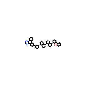 c1cc(-c2ccc3c(c2)c2ccccc2c2nccnc32)cc(-c2cccc3c(-c4cccc5c(-c6cccc7c6oc6ccccc67)cccc45)cccc23)c1